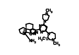 C[C@H]1CN(C)CCCN1c1cc(N2CCN(C)CC2)nc(-c2noc3c2CCC[C@@]32CCCc3sc(N)c(C#N)c32)n1